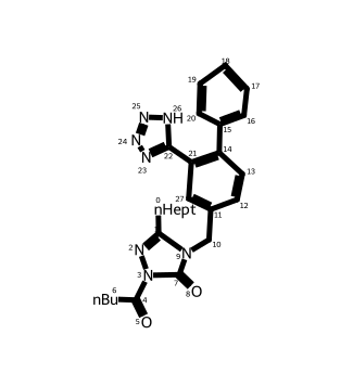 CCCCCCCc1nn(C(=O)CCCC)c(=O)n1Cc1ccc(-c2ccccc2)c(-c2nnn[nH]2)c1